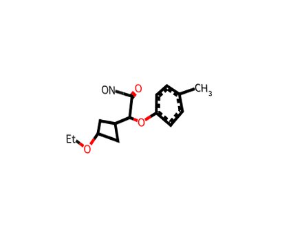 CCOC1CC(C(Oc2ccc(C)cc2)C(=O)N=O)C1